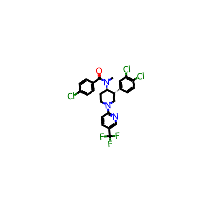 CN(C(=O)c1ccc(Cl)cc1)[C@@H]1CCN(c2ccc(C(F)(F)F)cn2)C[C@H]1c1ccc(Cl)c(Cl)c1